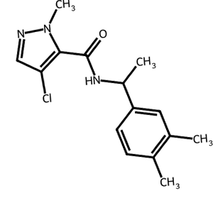 Cc1ccc(C(C)NC(=O)c2c(Cl)cnn2C)cc1C